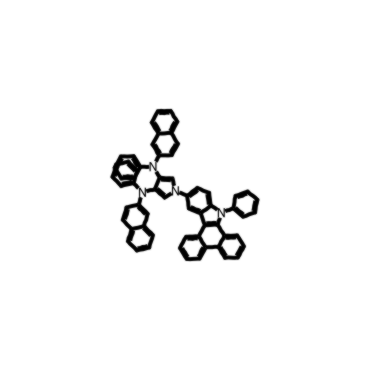 c1ccc(N(c2ccc3ccccc3c2)c2cn(-c3ccc4c(c3)c3c5ccccc5c5ccccc5c3n4-c3ccccc3)cc2N(c2ccccc2)c2ccc3ccccc3c2)cc1